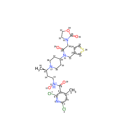 Cc1cc(Cl)nc(Cl)c1C(=O)[NH+]([O-])CC[C@@H](C)N1CCC(N(Cc2ccsc2)C(=O)CN2CCOC2=O)CC1